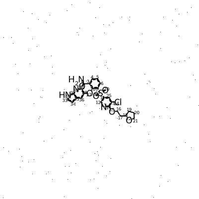 NC(=O)c1cccc(S(=O)(=O)c2cnc(OCCC3CCCO3)c(Cl)c2)c1Oc1cnc2[nH]ccc2c1